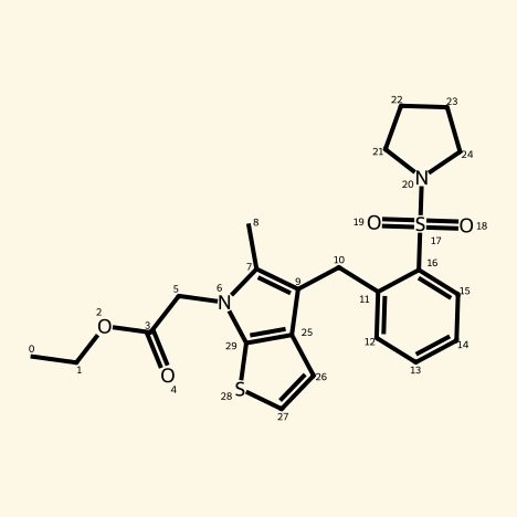 CCOC(=O)Cn1c(C)c(Cc2ccccc2S(=O)(=O)N2CCCC2)c2ccsc21